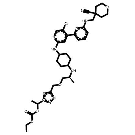 CCOC(=O)OC(C)n1nnc(COC[C@H](C)NC2CCC(Nc3cc(-c4cccc(NCC5(C#N)CCOCC5)n4)c(Cl)cn3)CC2)n1